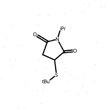 CC(C)N1C(=O)CC(SC(C)(C)C)C1=O